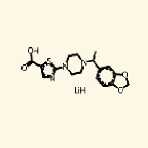 CC(c1ccc2c(c1)OCO2)N1CCN(c2ncc(C(=O)O)s2)CC1.[LiH]